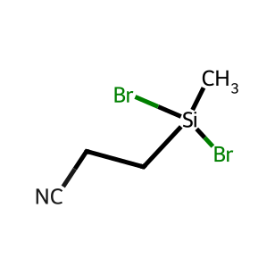 C[Si](Br)(Br)CCC#N